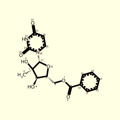 C[C@@]1(O)[C@H](O)[C@@H](COC(=O)c2ccccc2)O[C@H]1n1ccc(=O)[nH]c1=O